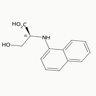 O=C(O)[C@H](CO)Nc1cccc2ccccc12